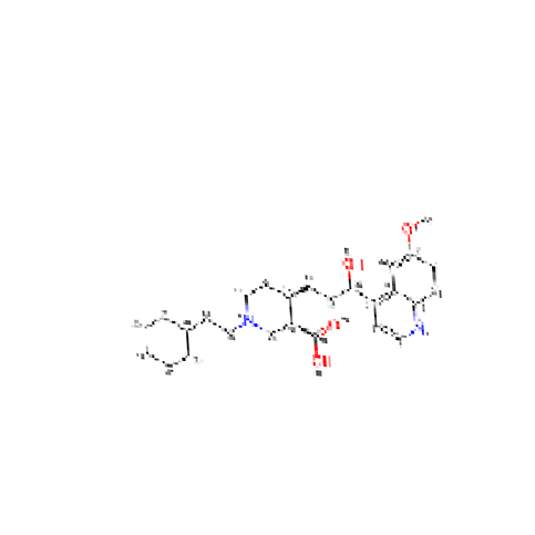 COc1ccc2nccc(C(O)CC[C@@H]3CCN(CCC4CCCCC4)C[C@@H]3C(=O)O)c2c1